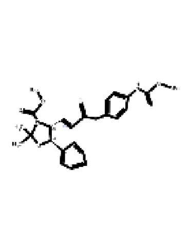 CC(C)(C)OC(=O)Nc1ccc(CC(=O)/C=C/[C@@H]2[C@@H](c3ccccc3)OC(C)(C)N2C(=O)OC(C)(C)C)cc1